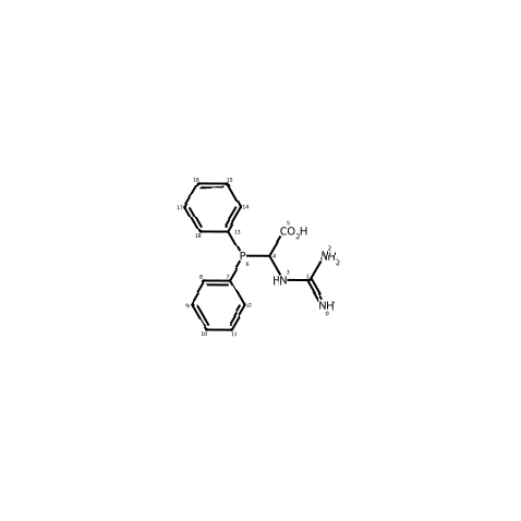 N=C(N)NC(C(=O)O)P(c1ccccc1)c1ccccc1